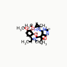 CCC(c1ccc(OC)c(OC)c1)N(C)C(=O)c1c(C)oc2ncnc(NC3(C)CC3)c12